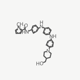 Cn1cccc1C(=O)Nc1ccc(Nc2ccc(Nc3ccc(N4CCC(CO)CC4)cc3)cc2)cc1